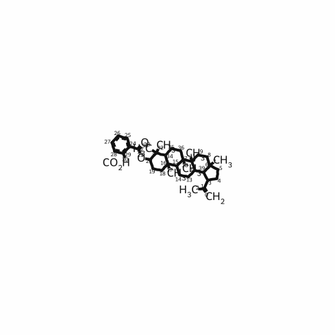 C=C(C)C1CCC2(C)CCC3(C)C(CCC4C5(C)CCC(OC(=O)c6ccccc6C(=O)O)C(C)(C)C5CCC43C)C12